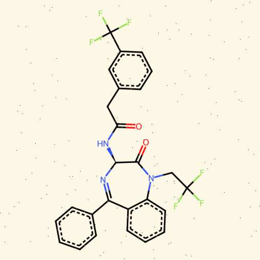 O=C(Cc1cccc(C(F)(F)F)c1)N[C@@H]1N=C(c2ccccc2)c2ccccc2N(CC(F)(F)F)C1=O